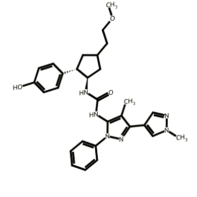 COCCC1C[C@@H](NC(=O)Nc2c(C)c(-c3cnn(C)c3)nn2-c2ccccc2)[C@H](c2ccc(O)cc2)C1